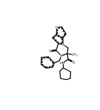 CC1(C(=O)NC2CCCCC2)Cn2c(cc3occc32)C(=O)N1Cc1ccccc1